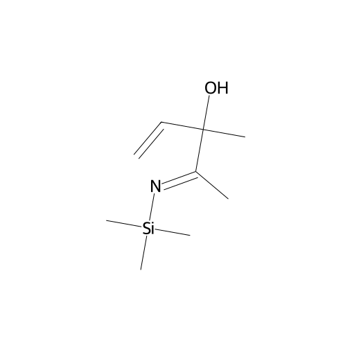 C=CC(C)(O)C(C)=N[Si](C)(C)C